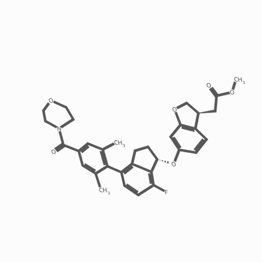 COC(=O)C[C@@H]1COc2cc(O[C@H]3CCc4c(-c5c(C)cc(C(=O)N6CCOCC6)cc5C)ccc(F)c43)ccc21